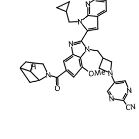 COc1cc(C(=O)N2CC3CC4CC2[C@H]43)cc2nc(-c3cc4cccnc4n3CC3CC3)n(CC3CN(c4cnc(C#N)nc4)C3)c12